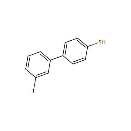 Sc1ccc(-c2cccc(I)c2)cc1